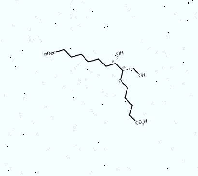 CCCCCCCCCCCCCCCC[C@H](O)[C@H](CO)OCCCCC(=O)O